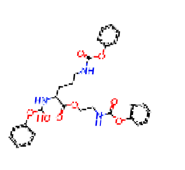 O=C(NCCCC(NC(O)Oc1ccccc1)C(=O)OCCNC(=O)Oc1ccccc1)Oc1ccccc1